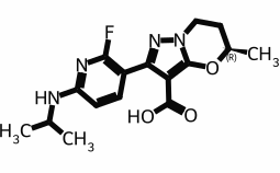 CC(C)Nc1ccc(-c2nn3c(c2C(=O)O)O[C@H](C)CC3)c(F)n1